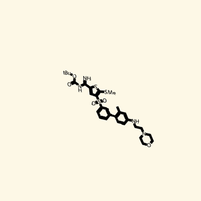 CSc1sc(C(=N)NC(=O)OC(C)(C)C)cc1S(=O)(=O)c1cccc(-c2ccc(NCCN3CCOCC3)cc2C)c1